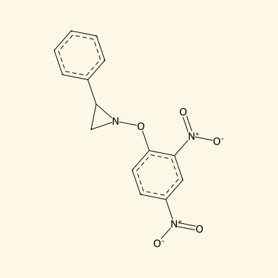 O=[N+]([O-])c1ccc(ON2CC2c2ccccc2)c([N+](=O)[O-])c1